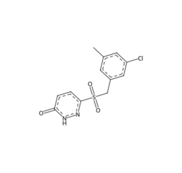 Cc1cc(Cl)cc(CS(=O)(=O)c2ccc(=O)[nH]n2)c1